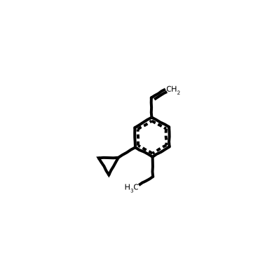 C=Cc1ccc(CC)c(C2CC2)c1